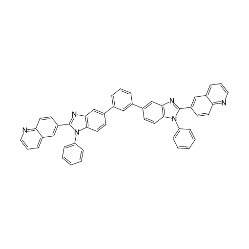 c1ccc(-n2c(-c3ccc4ncccc4c3)nc3cc(-c4cccc(-c5ccc6c(c5)nc(-c5ccc7ncccc7c5)n6-c5ccccc5)c4)ccc32)cc1